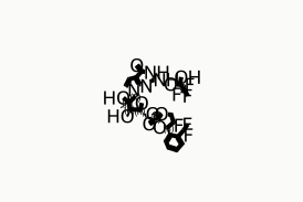 C[C@@]1(O)[C@H](O)[C@@H](CO[P@@]2(=O)OCC[C@@H](c3ccccc3C(F)(F)F)O2)O[C@H]1n1ccc2c(=O)[nH]c(N)nc21.O=C(O)C(F)(F)F